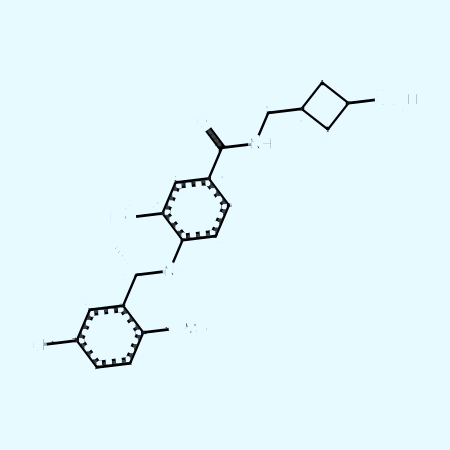 COc1ccc(Cl)cc1[C@H](C)Nc1ccc(C(=O)NCC2CC(C(=O)O)C2)cc1C(F)(F)F